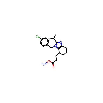 CC(C)c1nc2c(n1Cc1ccc(Cl)cc1)C(CCC(=O)ON)CCC2